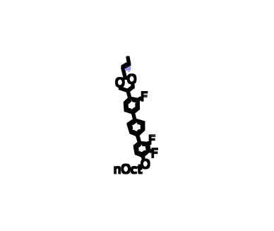 C/C=C/C1OCC(c2ccc(-c3ccc(-c4ccc(OCCCCCCCC)c(F)c4F)cc3)cc2F)CO1